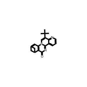 CC(C)(C)c1cn2c3c(c(=O)nc2c2cccnc12)C1CC(=C3)C1